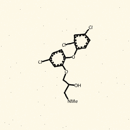 CNCC(O)COc1cc(Cl)ccc1Oc1ccc(Cl)cc1Cl